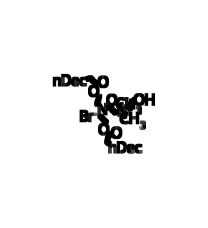 CCCCCCCCCCCC(=O)OCCN(CCOC(=O)CCCCCCCCCCC)C(=O)C[N+](C)(C)CCO.[Br-]